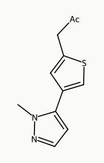 CC(=O)Cc1cc(-c2ccnn2C)cs1